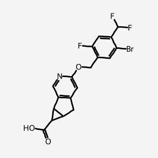 O=C(O)C1C2Cc3cc(OCc4cc(Br)c(C(F)F)cc4F)ncc3C21